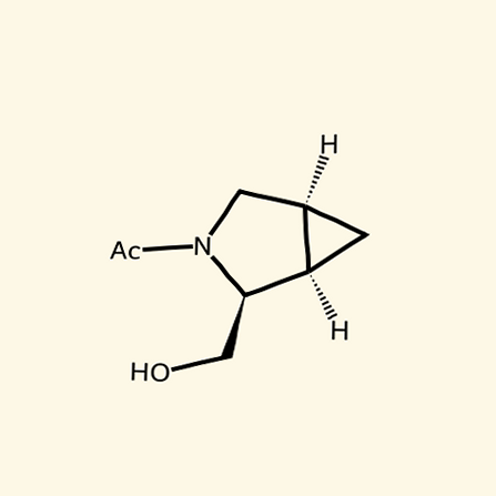 CC(=O)N1C[C@H]2C[C@H]2[C@H]1CO